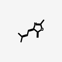 C=c1oc(C)n/c1=C/C=C(C)C